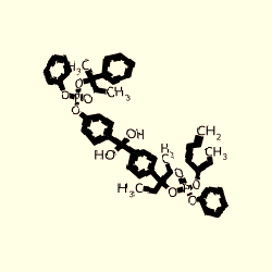 C=C/C=C\C(=C/C)OP(=O)(Oc1ccccc1)OC(CC)(CC)c1ccc(C(O)(O)c2ccc(OP(=O)(Oc3ccccc3)OC(C)(CC)c3ccccc3)cc2)cc1